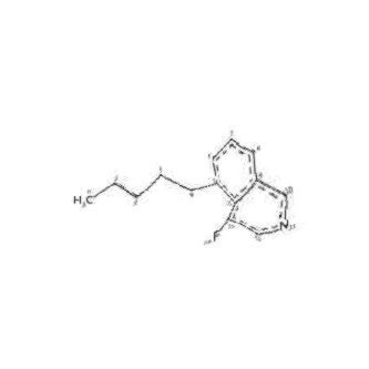 CCCCCc1cccc2cncc(F)c12